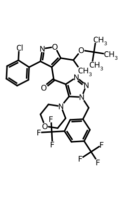 CC(OC(C)(C)C)c1onc(-c2ccccc2Cl)c1C(=O)c1nnn(Cc2cc(C(F)(F)F)cc(C(F)(F)F)c2)c1N1CCOCC1